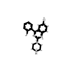 Fc1ccccc1-c1nc(N2CCNCC2)nc2ccc(Cl)cc12